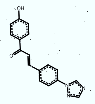 O=C(C=Cc1ccc(-n2cncn2)cc1)c1ccc(O)cc1